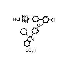 Cl.O=C(O)c1ccc2c(c1)nc(-c1ccc(OCc3cc(Cl)ccc3-c3ccc(-c4nnn[nH]4)cc3)cc1)n2C1CCCCC1